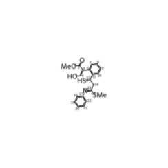 COC(=O)C(=CO)c1ccccc1C(S)CC(=Nc1ccccc1)SC